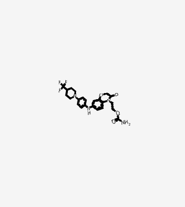 NC(=O)OCCN1C(=O)COc2cc(Nc3ccc(N4CCC(C(F)(F)F)CC4)cc3)ccc21